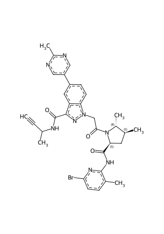 C#CC(C)NC(=O)c1nn(CC(=O)N2[C@H](C)[C@@H](C)C[C@H]2C(=O)Nc2nc(Br)ccc2C)c2ccc(-c3cnc(C)nc3)cc12